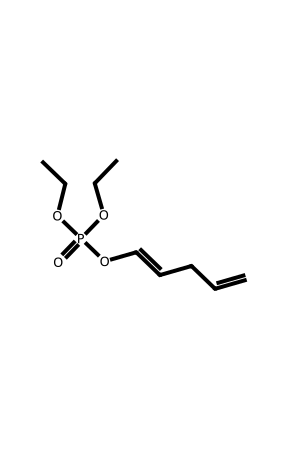 C=CCC=COP(=O)(OCC)OCC